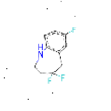 Fc1ccc2c(c1)CC(F)(F)CCN2